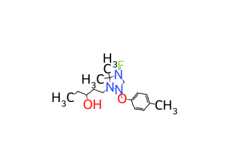 CCC(O)CCN1N(Oc2ccc(C)cc2)CN(F)C1(C)C